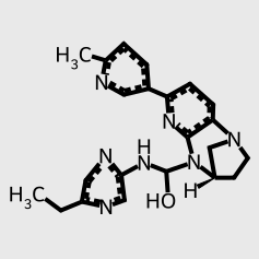 CCc1cnc(NC(O)N2c3nc(-c4ccc(C)nc4)ccc3N3CC[C@H]2C3)cn1